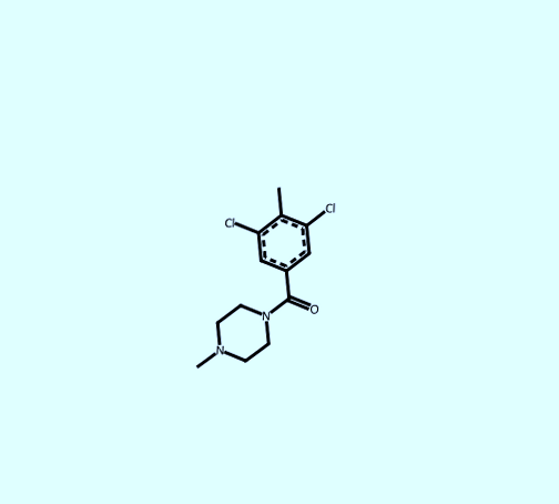 Cc1c(Cl)cc(C(=O)N2CCN(C)CC2)cc1Cl